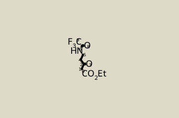 CCOC(=O)CC(=O)CCNC(=O)C(F)(F)F